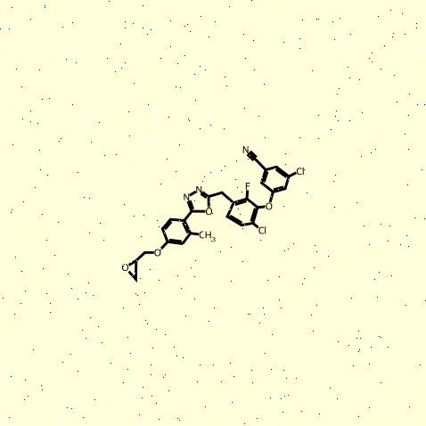 Cc1cc(OCC2CO2)ccc1-c1nnc(Cc2ccc(Cl)c(Oc3cc(Cl)cc(C#N)c3)c2F)o1